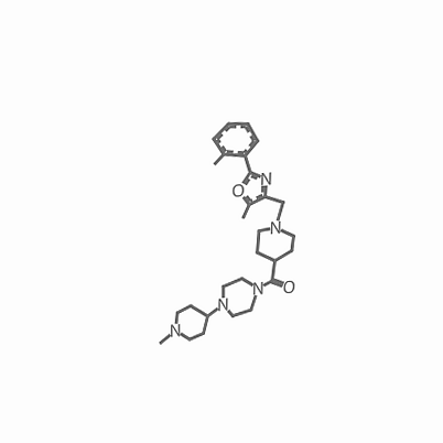 Cc1ccccc1-c1nc(CN2CCC(C(=O)N3CCN(C4CCN(C)CC4)CC3)CC2)c(C)o1